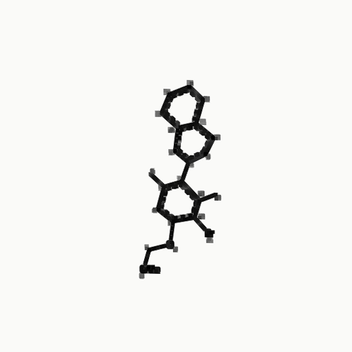 COCOc1cc(C)c(-c2ccc3ccccc3c2)c(C)c1Br